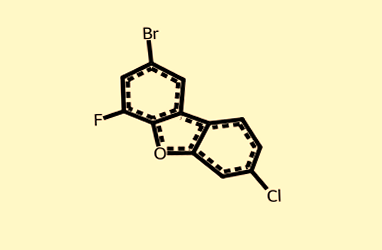 Fc1cc(Br)cc2c1oc1cc(Cl)ccc12